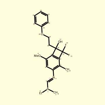 CCN(C)/C=N/c1cc(OC)c2c(c1C)C(F)(F)C2(O)CCOc1ccccc1